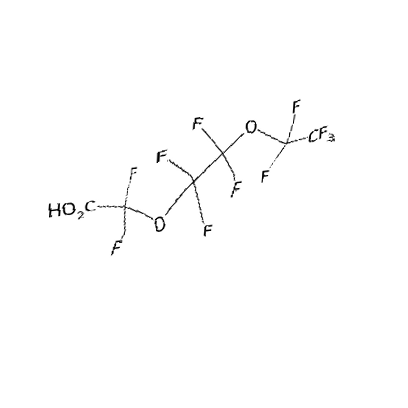 O=C(O)C(F)(F)OC(F)(F)C(F)(F)OC(F)(F)C(F)(F)F